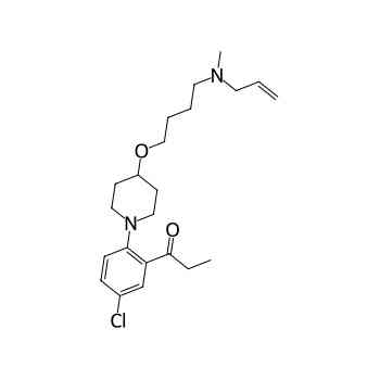 C=CCN(C)CCCCOC1CCN(c2ccc(Cl)cc2C(=O)CC)CC1